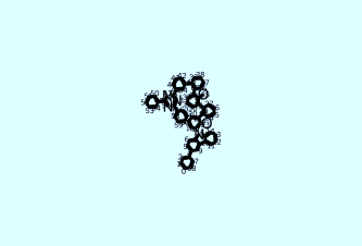 c1ccc(-c2ccc3c(c2)c2ccccc2n3-c2cccc3c2oc2cccc(-c4cccc5c4oc4cccc(-c6cccc(-c7nc(-c8ccccc8)nc(-c8ccccc8)n7)c6)c45)c23)cc1